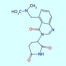 CN(Cc1cccc2ncn(C3CCC(=O)NC3=O)c(=O)c12)C(=O)O